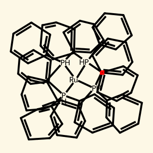 c1ccc([PH](c2ccccc2)(c2ccccc2)[Ru]([PH](c2ccccc2)(c2ccccc2)c2ccccc2)([PH](c2ccccc2)(c2ccccc2)c2ccccc2)[PH](c2ccccc2)(c2ccccc2)c2ccccc2)cc1